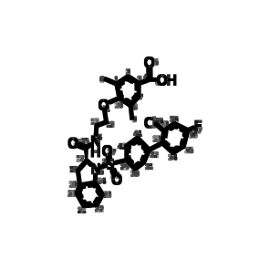 Cc1cc(C(=O)O)cc(C)c1OCCNC(=O)[C@@H]1Cc2ccccc2N1S(=O)(=O)c1ccc(-c2ccc(F)cc2Cl)cc1